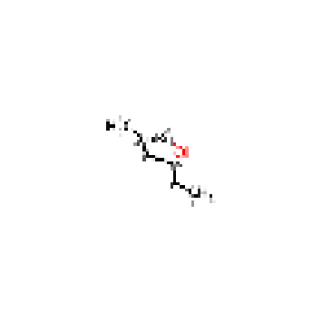 CCCCCC.CCCCO